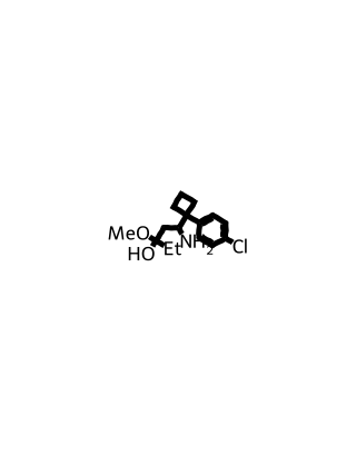 CCC(O)(CC(N)C1(c2ccc(Cl)cc2)CCC1)OC